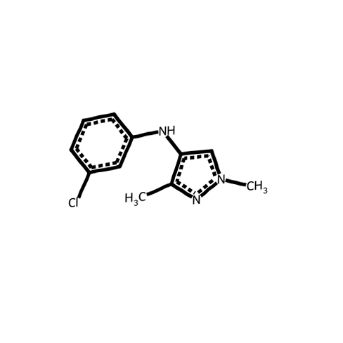 Cc1nn(C)cc1Nc1cccc(Cl)c1